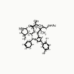 CC(=O)NCCC(C)(C)[C@H](c1nc(-c2cc(F)ccc2F)cn1Cc1ccccc1)N(C[C@@H]1CNC[C@@H]1F)C(=O)[C@H](C)O